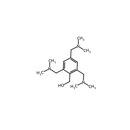 CN(C)Cc1cc(CN(C)C)c(CO)c(CN(C)C)c1